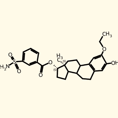 CCOc1cc2c(cc1O)CCC1C2CC[C@@]2(C)C1CC[C@@H]2OC(=O)c1cccc(S(N)(=O)=O)c1